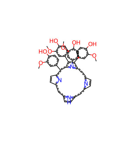 COc1cc(-c2c(-c3ccc(O)c(OC)c3)c3c(-c4ccc(O)c(OC)c4)c4nc(cc5ccc(cc6nc(cc2n3-c2ccc(O)c(OC)c2)C=C6)[nH]5)C=C4)ccc1O